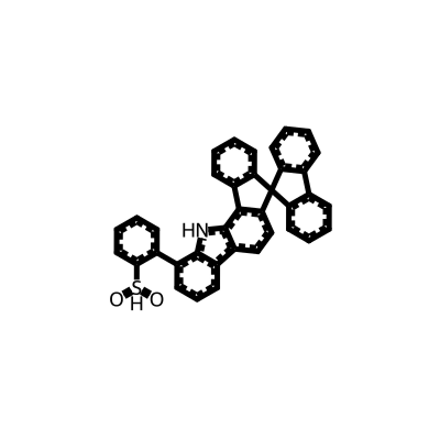 O=[SH](=O)c1ccccc1-c1cccc2c1[nH]c1c3c(ccc12)C1(c2ccccc2-c2ccccc21)c1ccccc1-3